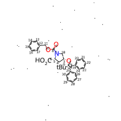 CC(C)(C)[Si](O[C@@H]1C[C@H](C(=O)O)N(C(=O)OCc2ccccc2)C1)(c1ccccc1)c1ccccc1